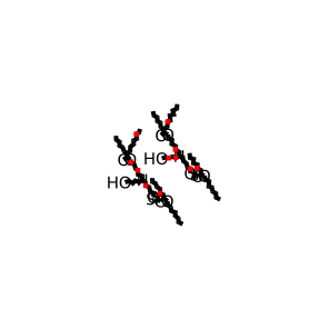 CCCCCCCCOC(CCCCCCC)O[Si](C)(C)OCCCCCN(CCCCO)CCCCCCOC(=O)C(CCCCCC)CCCCCCCC.CCCCCCCCOC(CCCCCCC)O[Si](C)(C)OCCCCCN(CCCCO)CCCCCCOC(=O)C(CCCCCC)CCCCCCCC